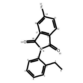 CCc1ccccc1N1C(=O)c2ccc(F)cc2C1=O